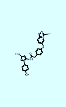 CC(C)c1nnc2ccc(Sc3ccc(CC(=O)Nc4cc(C(C)(C)C)nn4-c4ccc(O)cc4)cc3)cn12